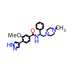 COc1cc(C(=O)NC(CN2CCN(C)CC2)c2ccccc2)ccc1-c1cn[nH]c1